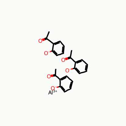 CC(=O)c1ccccc1[O-].CC(=O)c1ccccc1[O-].CC(=O)c1ccccc1[O-].[Al+3]